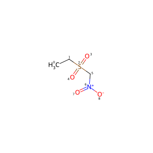 CCS(=O)(=O)C[N+](=O)[O-]